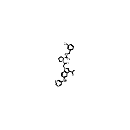 CC(=O)c1cn(CC(=O)N2CCC[C@H]2C(=O)NCc2cccc(Cl)c2)c2ccc(Nc3cncnc3)cc12